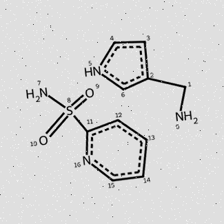 NCc1cc[nH]c1.NS(=O)(=O)c1ccccn1